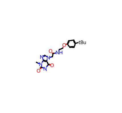 Cn1c(=O)c2c(ncn2CC(=O)NCCOc2ccc(C(C)(C)C)cc2)n(C)c1=O